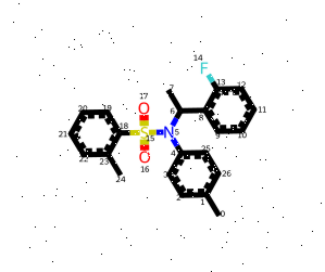 Cc1ccc(N(C(C)c2ccccc2F)S(=O)(=O)c2ccccc2C)cc1